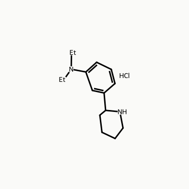 CCN(CC)c1cccc(C2CCCCN2)c1.Cl